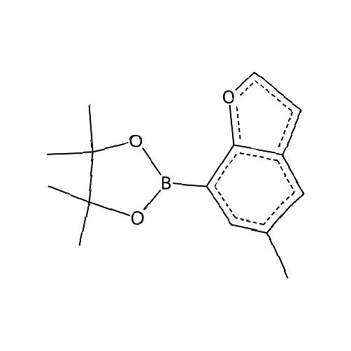 Cc1cc(B2OC(C)(C)C(C)(C)O2)c2occc2c1